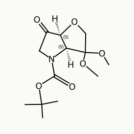 COC1(OC)CO[C@@H]2C(=O)CN(C(=O)OC(C)(C)C)[C@@H]21